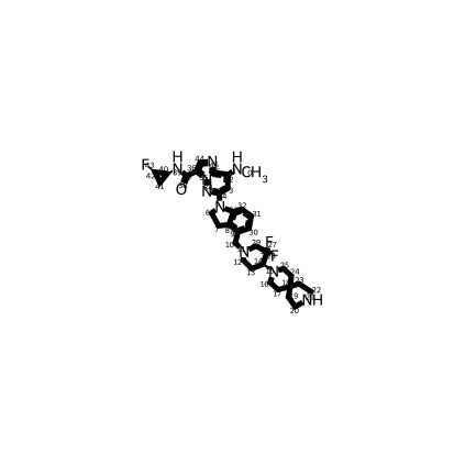 CNc1cc(N2CCc3c(CN4CC[C@H](N5CCC6(CCNCC6)CC5)C(F)(F)C4)cccc32)nn2c(C(=O)N[C@@H]3C[C@@H]3F)cnc12